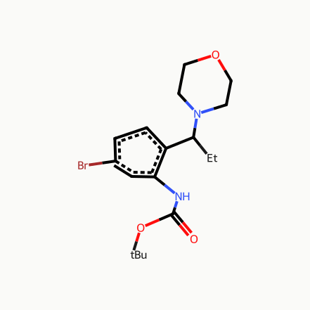 CCC(c1ccc(Br)cc1NC(=O)OC(C)(C)C)N1CCOCC1